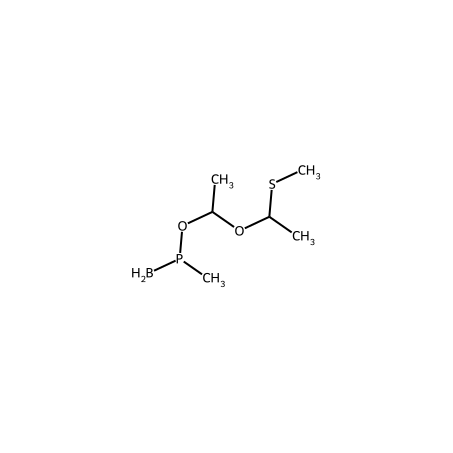 BP(C)OC(C)OC(C)SC